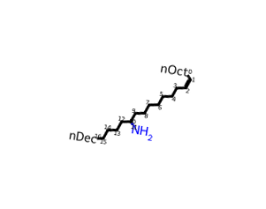 CCCCCCCC/C=C\CCCCCCCC(N)CCCCCCCCCCCCCC